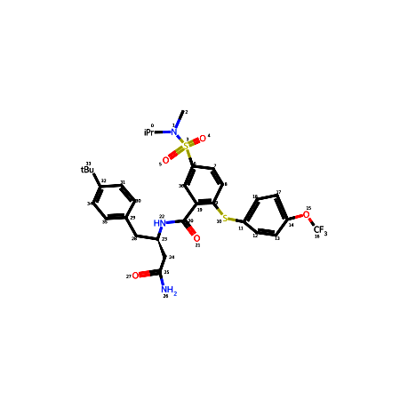 CC(C)N(C)S(=O)(=O)c1ccc(Sc2ccc(OC(F)(F)F)cc2)c(C(=O)N[C@@H](CC(N)=O)Cc2ccc(C(C)(C)C)cc2)c1